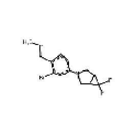 C[CH]Cc1ccc(N2CC3C(C2)C3(F)F)cc1Br